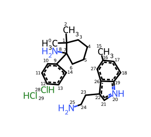 CC1(C)CCCCC1(N)c1ccccc1.Cc1ccc2[nH]cc(CCN)c2c1.Cl.Cl